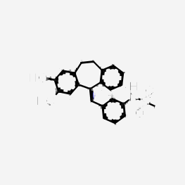 CS(=O)(=O)Nc1cccc(/C=C2\c3ccccc3CCc3cc(O)c(O)cc32)c1